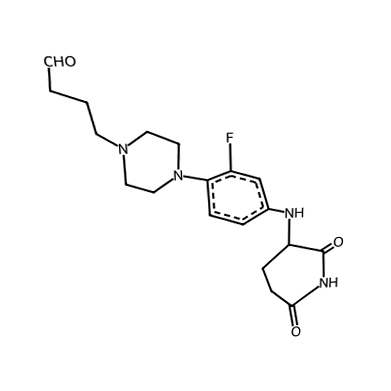 O=CCCCN1CCN(c2ccc(NC3CCC(=O)NC3=O)cc2F)CC1